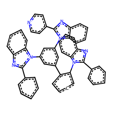 c1ccc(-c2nc3ccccc3n2-c2cc(-c3ccccc3-n3c(-c4ccccc4)nc4ccccc43)cc(-n3c(-c4ccncc4)nc4ccccc43)c2)cc1